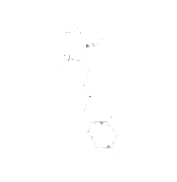 Cc1ccc(CCCCC(N)C(=O)O)cc1